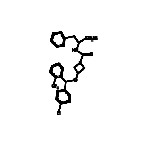 CCOC(=O)C(Cc1ccccc1)NC(=O)N1CC(OC(c2ccc(Cl)cc2)c2ccccc2C(F)(F)F)C1